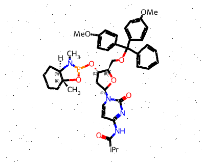 COc1ccc(C(OC[C@H]2O[C@@H](n3ccc(NC(=O)C(C)C)nc3=O)C[C@@H]2OP2O[C@]3(C)CCCC[C@H]3N2C)(c2ccccc2)c2ccc(OC)cc2)cc1